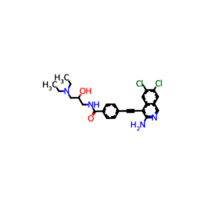 CCN(CC)CC(O)CNC(=O)c1ccc(C#Cc2c(N)ncc3cc(Cl)c(Cl)cc23)cc1